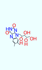 Cc1cc2nc3c(=O)[nH]c(=O)nc-3n(C[C@H](O)[C@H](O)[C@@H](O)CO)c2cc1C